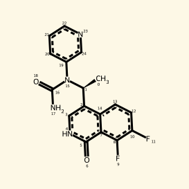 C[C@@H](c1c[nH]c(=O)c2c(F)c(F)ccc12)N(C(N)=O)c1cccnc1